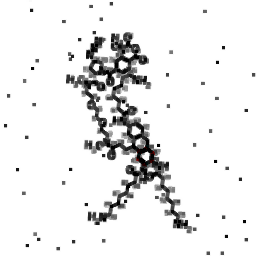 CN(CCOCCOCCN(C)C(=O)[C@@H]1C[C@H](N=[N+]=[N-])CN1C(=O)c1ccc2c(=O)oc(=O)n(C)c2c1)C(=O)CCC12c3ccc(NC(=O)CCCCCCCN)cc3C(c3ccc(NC(=O)CCCCCCCN)cc31)c1ccc(NC(=O)CCCCCCCN)cc12